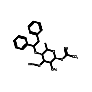 CCCCOC1C(OC(C)=O)[C@H](OC(=N)C(Cl)(Cl)Cl)OC(C)[C@@H]1OC(Cc1ccccc1)c1ccccc1